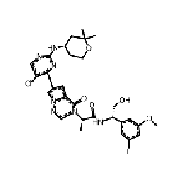 COc1cc(F)cc([C@@H](CO)NC(=O)[C@@H](C)n2cnn3cc(-c4nc(N[C@@H]5CCOC(C)(C)C5)ncc4Cl)cc3c2=O)c1